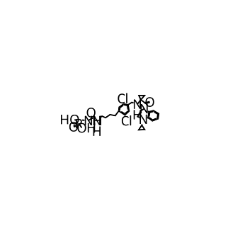 O=C(NCCCCc1cc(Cl)c(CNC2(C(=O)N3CCN(C4CC4)c4ccccc43)CC2)cc1Cl)NCP(=O)(O)O